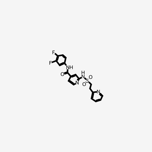 O=C(Nc1ccc(F)c(F)c1)c1ccnc(NS(=O)(=O)CCc2ccccn2)c1